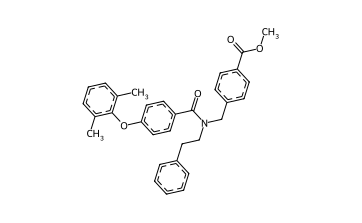 COC(=O)c1ccc(CN(CCc2ccccc2)C(=O)c2ccc(Oc3c(C)cccc3C)cc2)cc1